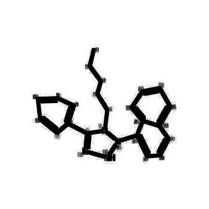 CCCCCN1C(c2ccccc2)=NNN1c1cccc2ccccc12